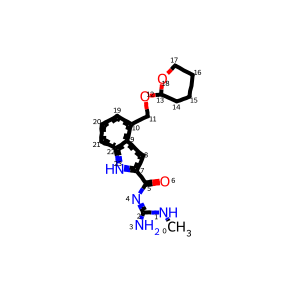 CNC(N)=NC(=O)c1cc2c(COC3CCCCO3)cccc2[nH]1